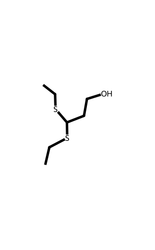 CCSC(CCO)SCC